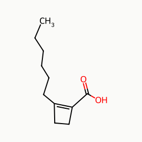 CCCCCCC1=C(C(=O)O)CC1